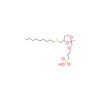 CCCCCCCCCSCC1CCOC(C)(COCCCS(=O)(=O)O)O1